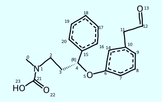 CN(CC[C@@H](Oc1cccc(CC=O)c1)c1ccccc1)C(=O)O